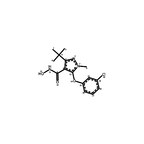 Cn1nc(C(C)(C)C)c(C(=O)NO)c1Oc1cccc(Cl)c1